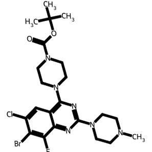 CN1CCN(c2nc(N3CCN(C(=O)OC(C)(C)C)CC3)c3cc(Cl)c(Br)c(F)c3n2)CC1